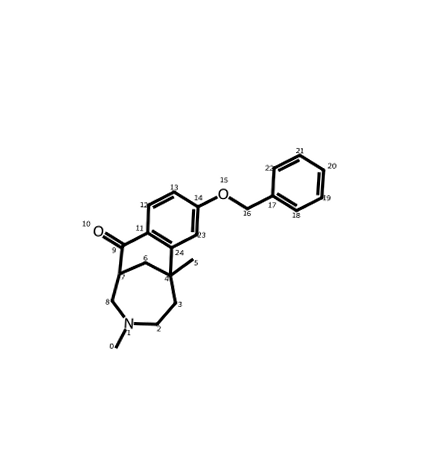 CN1CCC2(C)CC(C1)C(=O)c1ccc(OCc3ccccc3)cc12